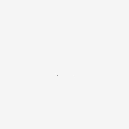 C1=CC2=C(C1)N=CNC2